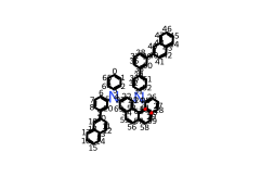 c1ccc(N(c2cccc(-c3ccc4ccccc4c3)c2)c2cc(N(c3ccccc3)c3ccc(-c4cccc(-c5ccc6ccccc6c5)c4)cc3)c3c(ccc4ccccc43)c2)cc1